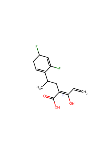 C=C/C(O)=C(\CC(C)C1=CCC(F)C=C1F)C(=O)O